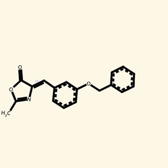 CC1=N/C(=C\c2cccc(OCc3ccccc3)c2)C(=O)O1